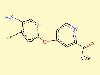 CNC(=O)c1cc(Oc2ccc(N)c(Cl)c2)ccn1